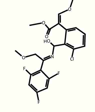 CO/C=C(/C(=O)OC)c1cccc(Cl)c1C(O)/N=C(\COC)c1c(F)cc(F)cc1F